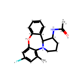 Cc1cc(F)cc2c1N1CCCC(NC(=O)C(F)(F)F)C1c1ccccc1O2